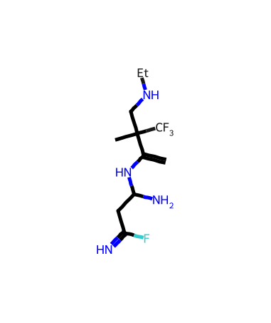 C=C(NC(N)CC(=N)F)C(C)(CNCC)C(F)(F)F